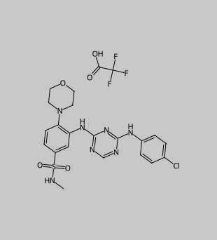 CNS(=O)(=O)c1ccc(N2CCOCC2)c(Nc2ncnc(Nc3ccc(Cl)cc3)n2)c1.O=C(O)C(F)(F)F